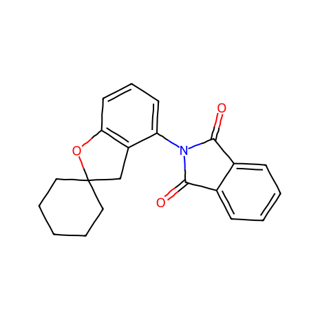 O=C1c2ccccc2C(=O)N1c1cccc2c1CC1(CCCCC1)O2